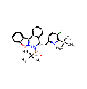 CC(C)(C)[S@+]([O-])N[C@@H](Cc1ccc(F)c([Si](C)(C)C)n1)c1ccccc1-c1noc2ccccc12